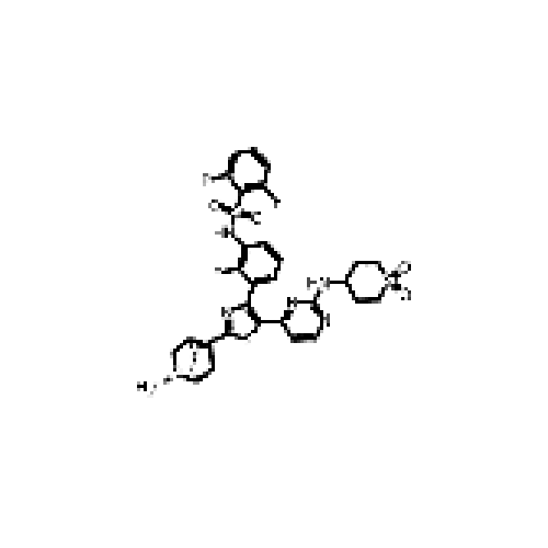 CN1CC2CCC1CN2c1nc(-c2cccc(NS(=O)(=O)c3c(F)cccc3F)c2F)c(-c2ccnc(NC3CCS(=O)(=O)CC3)n2)s1